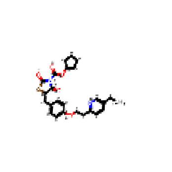 CCc1ccc(CCOc2ccc(CC3SC(=O)N(C(=O)OC4CCCC4)C3=O)cc2)nc1